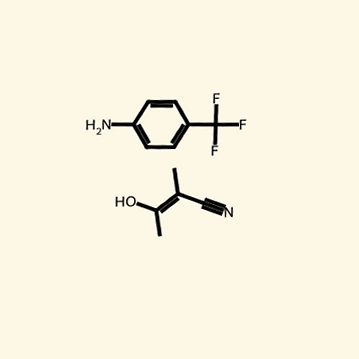 CC(O)=C(C)C#N.Nc1ccc(C(F)(F)F)cc1